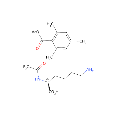 CC(=O)OC(=O)c1c(C)cc(C)cc1C.NCCCC[C@H](NC(=O)C(F)(F)F)C(=O)O